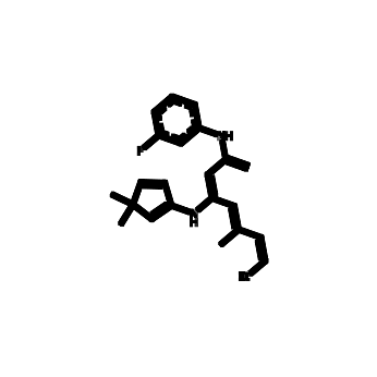 C=C(\C=C(/C=C(C)/C=C\CC)NC1=CC(C)(C)C=C1)Nc1cccc(F)c1